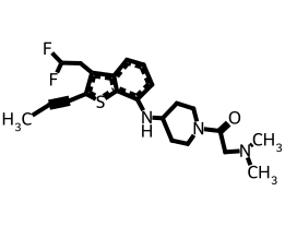 CC#Cc1sc2c(NC3CCN(C(=O)CN(C)C)CC3)cccc2c1CC(F)F